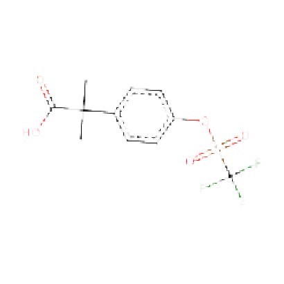 CC(C)(C(=O)O)c1ccc(OS(=O)(=O)C(F)(F)F)cc1